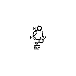 CC(C)(C)OC(=O)NC1CCCN2C(=O)COc3ccccc3[C@H]3CC[C@H](CO3)OCC12